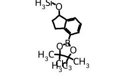 CC1(C)OB(c2cccc3c2CCC3O[SiH3])OC1(C)C